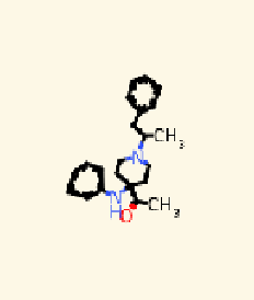 CC(=O)C1(Nc2ccccc2)CCN(C(C)Cc2ccccc2)CC1